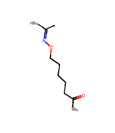 CCCC/C(C)=N/OCCCCCC(=O)C(C)(C)C